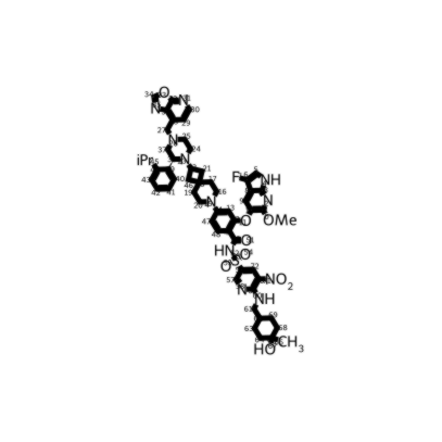 COc1nc2[nH]cc(F)c2cc1Oc1cc(N2CCC3(CC2)CC(N2CCN(Cc4ccnc5ocnc45)C[C@H]2c2ccccc2C(C)C)C3)ccc1C(=O)NS(=O)(=O)c1cnc(NCC2CCC(C)(O)CC2)c([N+](=O)[O-])c1